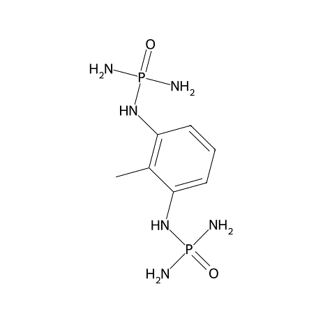 Cc1c(NP(N)(N)=O)cccc1NP(N)(N)=O